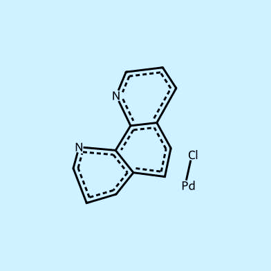 [Cl][Pd].c1cnc2c(c1)ccc1cccnc12